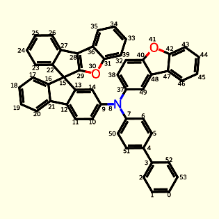 c1ccc(-c2ccc(N(c3ccc4c(c3)C3(c5ccccc5-4)c4ccccc4-c4c3oc3ccccc43)c3ccc4oc5ccccc5c4c3)cc2)cc1